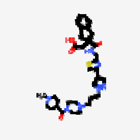 CN1CCC(C(=O)N2CCN(CCCn3cc(-c4csc(CNC(=O)C5(CC(=O)O)Cc6ccccc6C5)n4)cn3)CC2)CC1